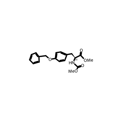 COC(=O)N[C@@H](Cc1ccc(OCc2ccccc2)cc1)C(=O)OC